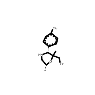 CC(C)CC1(C)O[C@H](C)CN[C@@H]1c1ccc(C(C)(C)C)cc1